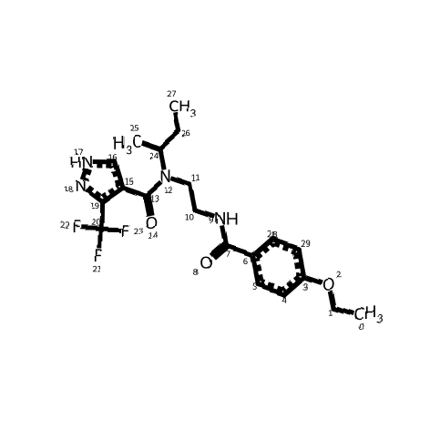 CCOc1ccc(C(=O)NCCN(C(=O)c2c[nH]nc2C(F)(F)F)C(C)CC)cc1